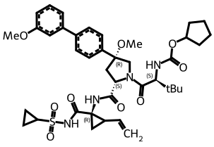 C=CC1C[C@]1(NC(=O)[C@@H]1C[C@@](OC)(c2ccc(-c3cccc(OC)c3)cc2)CN1C(=O)[C@@H](NC(=O)OC1CCCC1)C(C)(C)C)C(=O)NS(=O)(=O)C1CC1